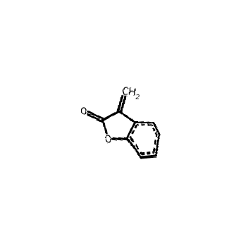 C=C1C(=O)Oc2ccccc21